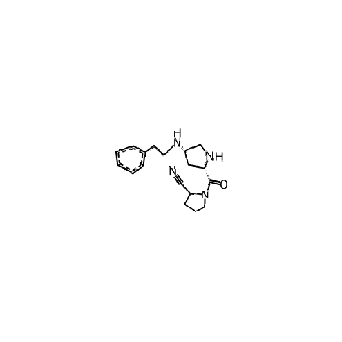 N#CC1CCCN1C(=O)[C@@H]1C[C@H](NCCc2ccccc2)CN1